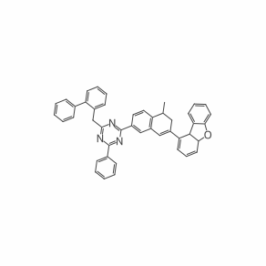 CC1CC(C2=CC=CC3Oc4ccccc4C23)=Cc2cc(-c3nc(Cc4ccccc4-c4ccccc4)nc(-c4ccccc4)n3)ccc21